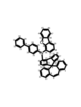 C1=Cc2ccccc2C2(c3ccccc31)c1ccccc1-c1c(N(c3ccc(-c4ccccc4)cc3)c3cccc4c3oc3ccccc34)cccc12